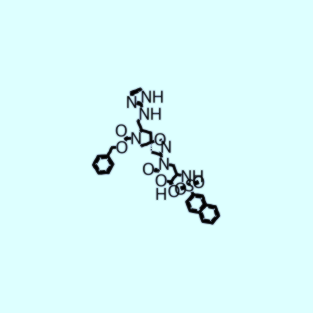 O=CN(CC(NS(=O)(=O)c1ccc2ccccc2c1)C(=O)O)C1=NO[C@]2(C1)CC(CNc1ncc[nH]1)N(C(=O)OCc1ccccc1)C2